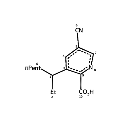 CCCCCC(CC)c1cc(C#N)cnc1C(=O)O